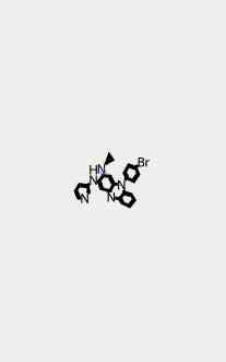 Brc1ccc(-n2c3c/c(=N\C4CC4)c(Nc4cccnc4)cc-3nc3ccccc32)cc1